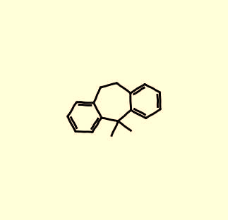 CC1(C)c2ccccc2CCc2ccccc21